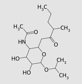 CCCC(C)C(=O)CC1OC(OC(C)C)C(O)C(O)C1NC(C)=O